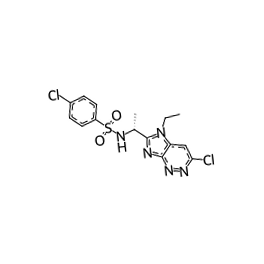 CCn1c([C@@H](C)NS(=O)(=O)c2ccc(Cl)cc2)nc2nnc(Cl)cc21